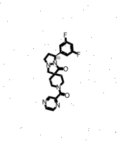 O=C(c1cnccn1)N1CCC2(CC1)CN1CC[C@@H](c3cc(F)cc(F)c3)N1C2=O